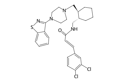 O=C(/C=C/c1ccc(Cl)c(Cl)c1)NC[C@H]1CCCC[C@@H]1CN1CCN(c2nsc3ccccc23)CC1